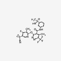 Cc1c(Oc2nnc(C(F)(F)F)c(C)c2C(=O)Nc2cccc(S(C)(=N)=O)c2)ncc(C2(C#N)CC2)c1F